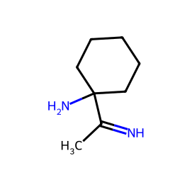 CC(=N)C1(N)CCCCC1